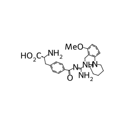 COc1cccc(N2CCCCC2)c1CN/C(N)=N/C(=O)c1ccc(C[C@H](N)C(=O)O)cc1